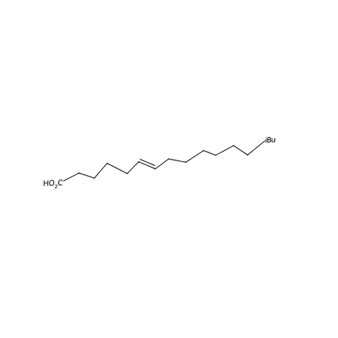 CCC(C)CCCCCC/C=C/CCCCC(=O)O